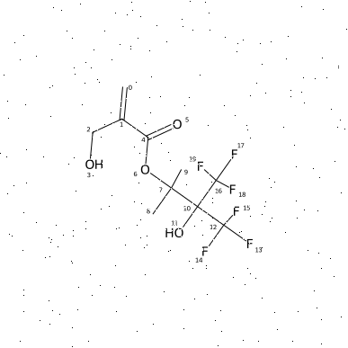 C=C(CO)C(=O)OC(C)(C)C(O)(C(F)(F)F)C(F)(F)F